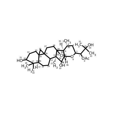 CC(=O)OC(C1C[C@@H](C)[C@H]2[C@H](O1)[C@H](O)[C@@]1(C)C3CC[C@H]4C(C)(C)C(O)CCC45CC35CCC21C)C(C)(C)O